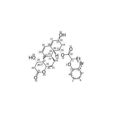 CCC(Oc1ccccc1Br)C(=O)O[C@H]1C[C@H](O)C=C2C=C[C@H](C)[C@H](CC[C@@H]3C[C@@H](O)CC(=O)O3)[C@H]21